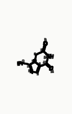 CC(C)c1ncc2n1CC(=O)NC2=O